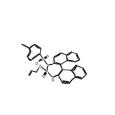 C=CCOP1(=O)Nc2ccc3ccccc3c2-c2c(ccc3ccccc23)N1S(=O)(=O)c1ccc(C)cc1